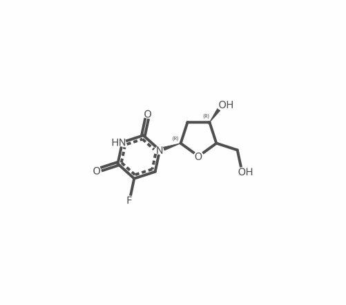 O=c1[nH]c(=O)n([C@H]2C[C@@H](O)C(CO)O2)cc1F